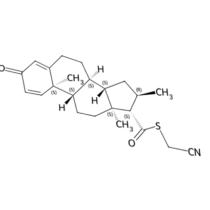 C[C@@H]1C[C@H]2[C@@H]3CCC4=CC(=O)C=C[C@]4(C)[C@H]3CC[C@]2(C)[C@H]1C(=O)SCC#N